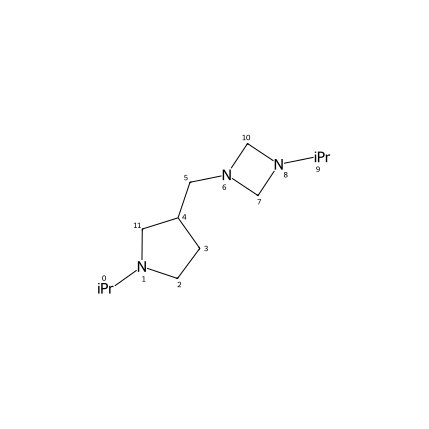 CC(C)N1CCC(CN2CN(C(C)C)C2)C1